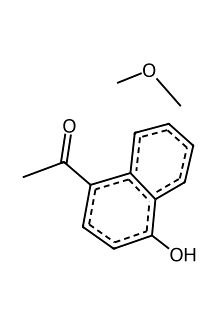 CC(=O)c1ccc(O)c2ccccc12.COC